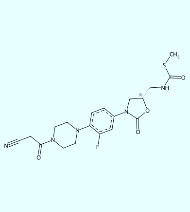 CSC(=O)NC[C@H]1CN(c2ccc(N3CCN(C(=O)CC#N)CC3)c(F)c2)C(=O)O1